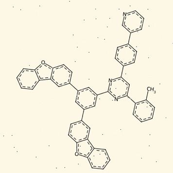 Cc1ccccc1-c1cc(-c2ccc(-c3cccnc3)cc2)nc(-c2cc(-c3ccc4oc5ccccc5c4c3)cc(-c3ccc4oc5ccccc5c4c3)c2)n1